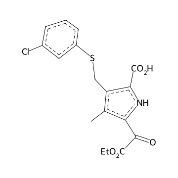 CCOC(=O)C(=O)c1[nH]c(C(=O)O)c(CSc2cccc(Cl)c2)c1C